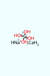 O[Si](O)(O)O.[CaH2].[NaH]